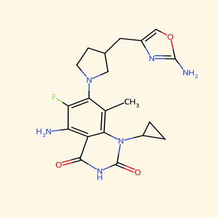 Cc1c(N2CCC(Cc3coc(N)n3)C2)c(F)c(N)c2c(=O)[nH]c(=O)n(C3CC3)c12